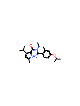 CCn1c(-c2ccc(OC(C)C)cc2C)nn2c(C)cc(C(C)C)c2c1=O